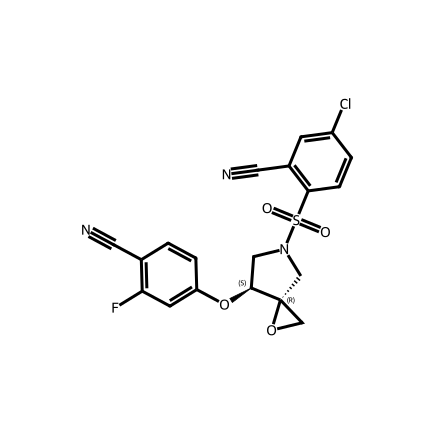 N#Cc1ccc(O[C@H]2CN(S(=O)(=O)c3ccc(Cl)cc3C#N)C[C@@]23CO3)cc1F